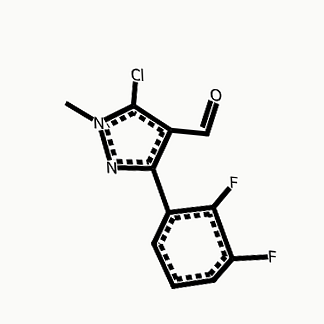 Cn1nc(-c2cccc(F)c2F)c(C=O)c1Cl